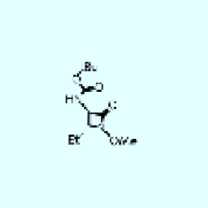 CC[C@@H]1[C@@H](NC(=O)OC(C)(C)C)C(=O)N1OC